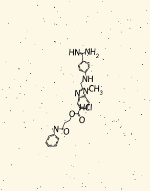 Cl.Cn1c(CNc2ccc(C(=N)N)cc2)nc2cc(C(=O)OCCC(=O)[N]c3ccccc3)ccc21